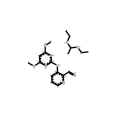 CCOC(C)OCC.COc1cc(OC)nc(Oc2cccnc2C=O)n1